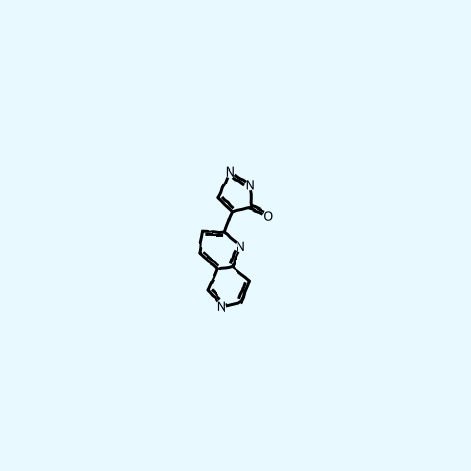 O=C1N=NC=C1c1ccc2cnccc2n1